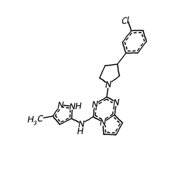 Cc1cc(Nc2nc(N3CCC(c4cccc(Cl)c4)C3)nc3cccn23)[nH]n1